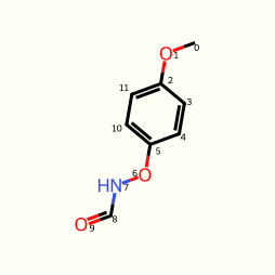 COc1ccc(ONC=O)cc1